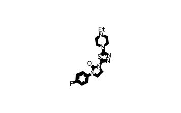 CCN1CCN(c2nnc(N3CCN(c4ccc(F)cc4)C3=O)s2)CC1